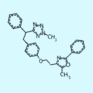 Cc1oc(-c2ccccc2)nc1CCOc1ccc(CC(c2ccccc2)c2nnn(C)n2)cc1